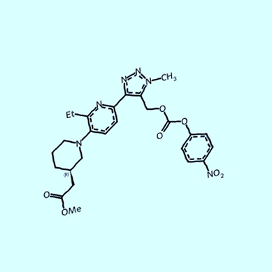 CCc1nc(-c2nnn(C)c2COC(=O)Oc2ccc([N+](=O)[O-])cc2)ccc1N1CCC[C@H](CC(=O)OC)C1